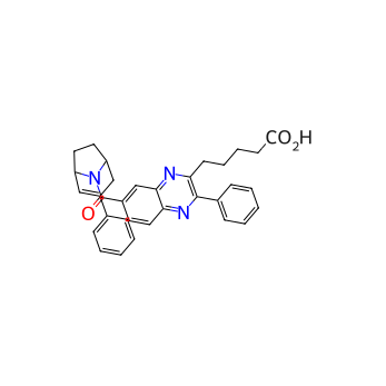 O=C(O)CCCCc1nc2cc(C(=O)N3C4C=C(c5ccccc5)CC3CC4)ccc2nc1-c1ccccc1